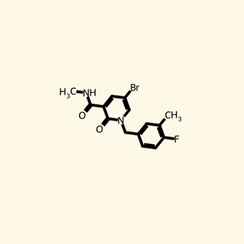 CNC(=O)c1cc(Br)cn(Cc2ccc(F)c(C)c2)c1=O